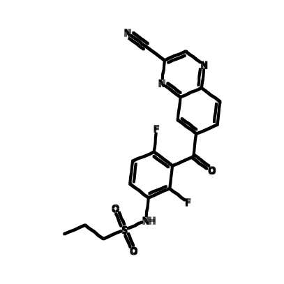 CCCS(=O)(=O)Nc1ccc(F)c(C(=O)c2ccc3ncc(C#N)nc3c2)c1F